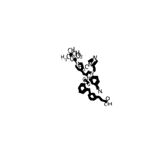 Cn1cncc1CN(CC(CC1CCN(C(=O)OC(C)(C)C)CC1)NS(=O)(=O)c1ccccc1Cc1cccc(CCC(=O)O)c1)c1ccc(C#N)cc1